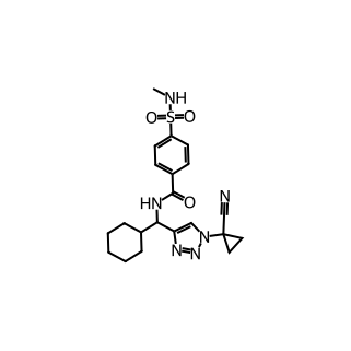 CNS(=O)(=O)c1ccc(C(=O)NC(c2cn(C3(C#N)CC3)nn2)C2CCCCC2)cc1